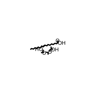 CC(O)COC(C)COC(C)CO.CCCCCCCCC=CCCCCCCCC(=O)O